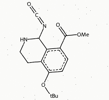 COC(=O)c1ccc(OC(C)(C)C)c2c1C(N=C=O)NCC2